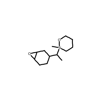 CC(C1CCC2OC2C1)[Si]1(C)CCCCO1